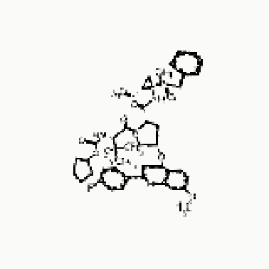 C=C[C@@H]1C[C@]1(NC(=O)[C@@H]1C[C@@H](Oc2cc(-c3ccc(F)cc3)nc3cc(OC)ccc23)CN1C(=O)[C@@H](NC(=O)OC1CCCC1)C(C)(C)C)P(=O)(O)Cc1ccccc1